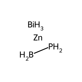 BP.[BiH3].[Zn]